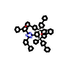 c1ccc(-c2ccc([Si](c3ccccc3)(c3ccc(-c4ccccc4)cc3)c3cc(-c4nc(-c5cccc(-c6ccccc6)c5)nc(-c5cccc(-c6ccccc6)c5)n4)cc([Si](c4ccccc4)(c4ccc(-c5ccccc5)cc4)c4ccc(-c5ccccc5)cc4)c3)cc2)cc1